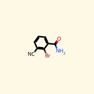 N#Cc1cccc(C(N)=O)c1Br